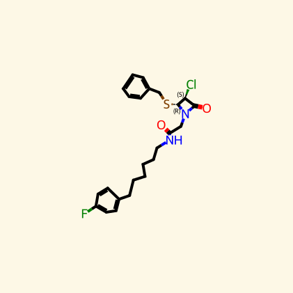 O=C(CN1C(=O)[C@H](Cl)[C@H]1SCc1ccccc1)NCCCCCCc1ccc(F)cc1